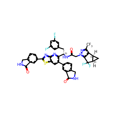 O=C(Cn1nc(C(F)(F)F)c2c1C(F)(F)[C@@H]1C[C@H]21)N[C@@H](Cc1cc(F)cc(F)c1)c1nc2nc(-c3ccc4c(c3)C(=O)NC4)sc2cc1-c1ccc2c(c1)C(=O)NC2